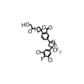 O=C1OC2(CN(C(=O)CO)C2)c2ccc(C3=NOC(c4cc(Cl)c(F)c(Cl)c4)(C(F)(F)F)C3)cc21